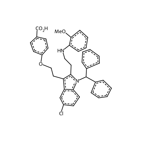 COc1ccccc1NCCc1c(CCOc2ccc(C(=O)O)cc2)c2cc(Cl)ccc2n1C(c1ccccc1)c1ccccc1